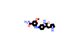 COc1cc(Nc2ccc3c(c2)NC(=O)C3=Cc2ccc[nH]2)cc(C(N)=O)c1